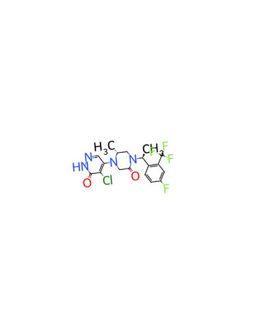 C[C@@H]1CN([C@@H](C)c2ccc(F)cc2C(F)(F)F)C(=O)CN1c1cn[nH]c(=O)c1Cl